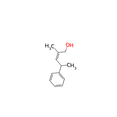 CC(=CC(C)c1ccccc1)CO